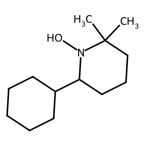 CC1(C)CCCC(C2CCCCC2)N1O